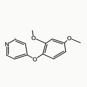 COc1ccc(Oc2c[c]ncc2)c(OC)c1